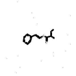 CC=C(C)C(=O)OC=Cc1ccccc1